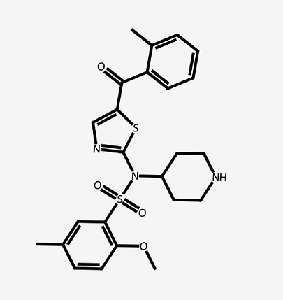 COc1ccc(C)cc1S(=O)(=O)N(c1ncc(C(=O)c2ccccc2C)s1)C1CCNCC1